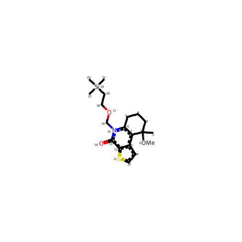 COC1(C)CCCc2c1c1ccsc1c(=O)n2COCC[Si](C)(C)C